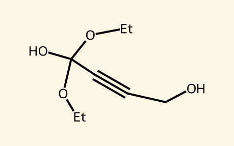 CCOC(O)(C#CCO)OCC